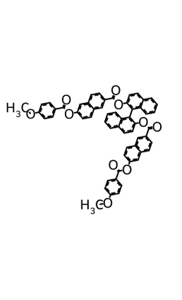 COc1ccc(C(=O)Oc2ccc3cc(C(=O)Oc4ccc5ccccc5c4-c4c(OC(=O)c5ccc6cc(OC(=O)c7ccc(OC)cc7)ccc6c5)ccc5ccccc45)ccc3c2)cc1